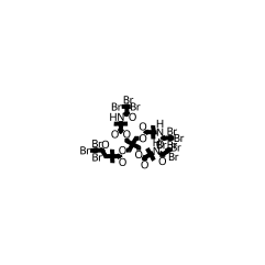 CC(C)(CC(=O)C(Br)(Br)Br)C(=O)OCC(COC(=O)C(C)(C)NC(=O)C(Br)(Br)Br)(COC(=O)C(C)(C)NC(=O)C(Br)(Br)Br)COC(=O)C(C)(C)NC(=O)C(Br)(Br)Br